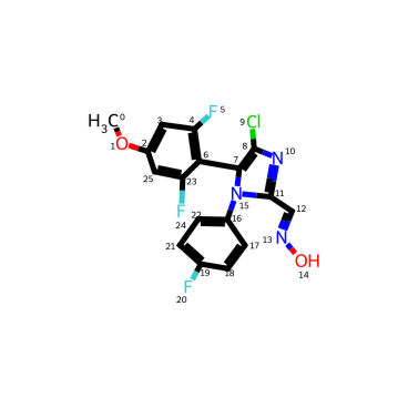 COc1cc(F)c(-c2c(Cl)nc(C=NO)n2-c2ccc(F)cc2)c(F)c1